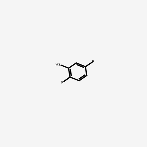 Fc1c[c]c(F)c(S)c1